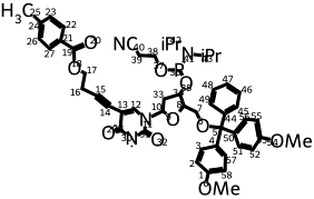 COc1ccc(C(OCC2OC(N3C=C(C#CCCOC(=O)c4ccc(C)cc4)C(=O)[N]C3=O)CC2OP(OCCC#N)N(C(C)C)C(C)C)(c2ccccc2)c2ccc(OC)cc2)cc1